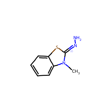 Cn1/c(=N/N)sc2ccccc21